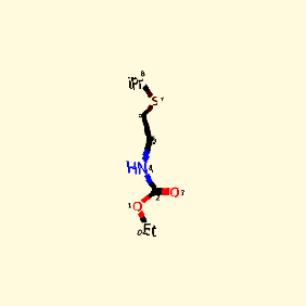 CCOC(=O)NCCSC(C)C